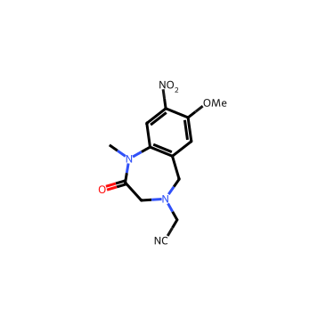 COc1cc2c(cc1[N+](=O)[O-])N(C)C(=O)CN(CC#N)C2